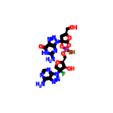 Nc1nc2c(nnn2[C@@]2(OP(=O)(S)OC[C@H]3OC[C@@](F)(n4nnc5c(N)ncnc54)[C@@H]3O)CO[C@H](CO)C2)c(=O)[nH]1